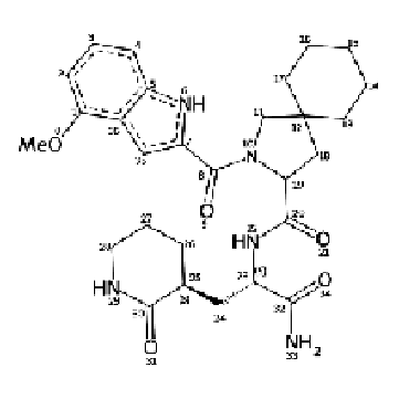 COc1cccc2[nH]c(C(=O)N3CC4(CCCCC4)CC3C(=O)N[C@@H](C[C@@H]3CCCNC3=O)C(N)=O)cc12